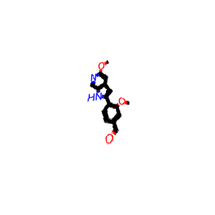 COc1cc2cc(-c3ccc(C=O)cc3OC)[nH]c2cn1